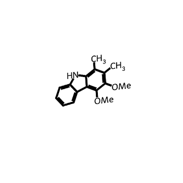 COc1c(C)c(C)c2[nH]c3ccccc3c2c1OC